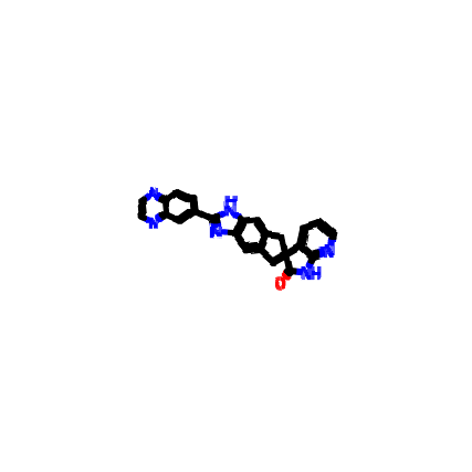 O=C1Nc2ncccc2C12Cc1cc3nc(-c4ccc5nccnc5c4)[nH]c3cc1C2